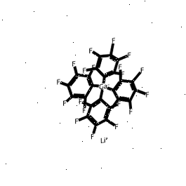 Fc1c(F)c(F)[c]([Ga-]([c]2c(F)c(F)c(F)c(F)c2F)([c]2c(F)c(F)c(F)c(F)c2F)[c]2c(F)c(F)c(F)c(F)c2F)c(F)c1F.[Li+]